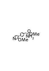 COC(=O)[C@@H](N)Cc1ccc(-c2ccncc2OC)cc1